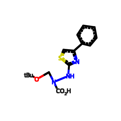 CC(C)(C)OCN(Nc1nc(-c2ccccc2)cs1)C(=O)O